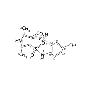 Cc1[nH]c(C)c(S(=O)(=O)Nc2ccc(Cl)cc2C(F)(F)F)c1C(=O)O